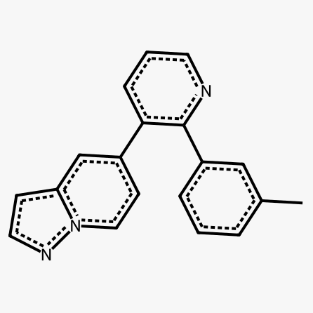 Cc1cccc(-c2ncccc2-c2ccn3nccc3c2)c1